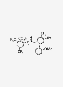 COc1ccccc1-c1cc(C(C)C)c(C(F)(F)F)cc1CNC(C)(C(=O)O)c1cc(C(F)(F)F)cc(C(F)(F)F)c1